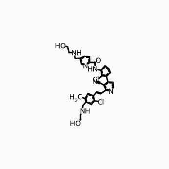 Cc1cc(/C=C/c2nccc(-c3cccc(NC(=O)c4ccc(CNCCO)cn4)c3Cl)c2C#N)c(Cl)cc1CNCCO